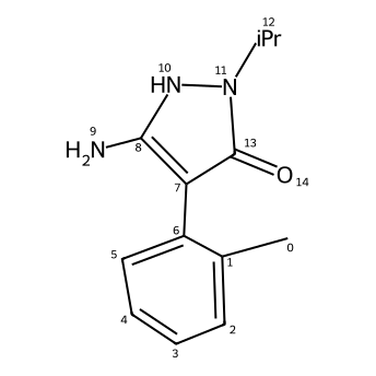 Cc1ccccc1-c1c(N)[nH]n(C(C)C)c1=O